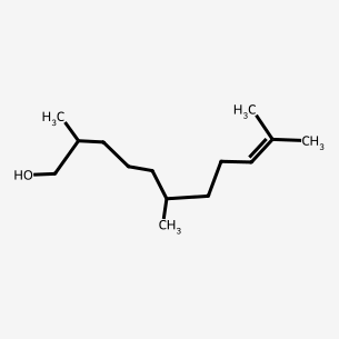 CC(C)=CCCC(C)CCCC(C)CO